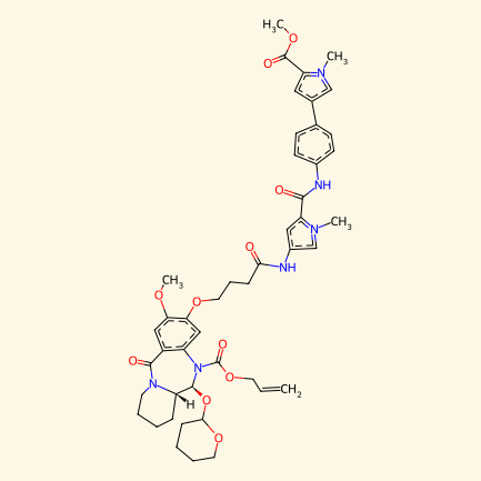 C=CCOC(=O)N1c2cc(OCCCC(=O)Nc3cc(C(=O)Nc4ccc(-c5cc(C(=O)OC)n(C)c5)cc4)n(C)c3)c(OC)cc2C(=O)N2CCCC[C@H]2[C@@H]1OC1CCCCO1